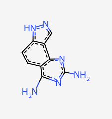 Nc1nc(N)c2ccc3[nH]ncc3c2n1